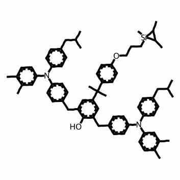 Cc1ccc(N(c2ccc(Cc3cc(C(C)(C)c4ccc(OCCC[Si]5(C)C(C)C5C)cc4)cc(Cc4ccc(N(c5ccc(CC(C)C)cc5)c5ccc(C)c(C)c5)cc4)c3O)cc2)c2ccc(CC(C)C)cc2)cc1C